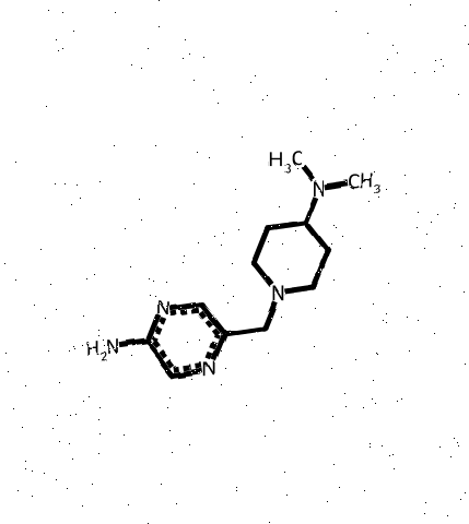 CN(C)C1CCN(Cc2cnc(N)cn2)CC1